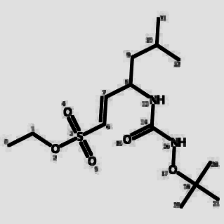 CCOS(=O)(=O)C=CC(CC(C)C)NC(=O)NOC(C)(C)C